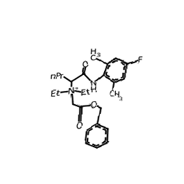 CCCC(C(=O)Nc1c(C)cc(F)cc1C)[N+](CC)(CC)CC(=O)OCc1ccccc1